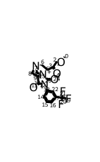 COCC(=O)C1C[N@@]2CC3C(=O)N(c4cccc(C(F)(F)F)c4)C(=O)[N+]13C2